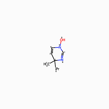 CC(C)C1(C)C=CN(O)C=N1